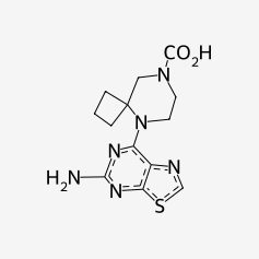 Nc1nc(N2CCN(C(=O)O)CC23CCC3)c2ncsc2n1